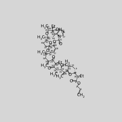 C=CCOC(=O)[C@H](CC)[C@H]1CC[C@H](C)[C@H]([C@@H](C)[C@H](O)[C@H](C)C(=O)[C@H](CC)[C@H]2O[C@]3(C=C[C@@H](OC(=O)n4ccnc4)[C@]4(CC[C@@](C)([C@H]5CC[C@](O)(CC)[C@H](C)O5)O4)O3)[C@H](C)C[C@@H]2C)O1